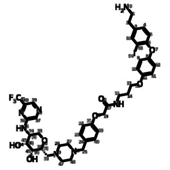 NCCc1ccc(Oc2ccc(OCCCNC(=O)COc3ccc(CN4CCN(C[C@H]5OC[C@H](Nc6cncc(C(F)(F)F)n6)[C@@H](O)[C@H]5O)CC4)cc3)cc2)c(I)c1